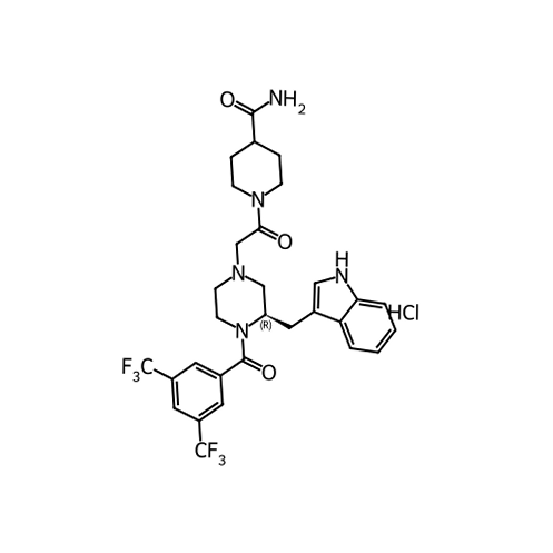 Cl.NC(=O)C1CCN(C(=O)CN2CCN(C(=O)c3cc(C(F)(F)F)cc(C(F)(F)F)c3)[C@H](Cc3c[nH]c4ccccc34)C2)CC1